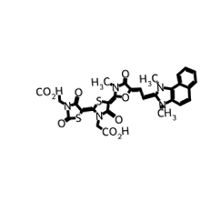 CN1/C(=C/C=c2o/c(=c3/s/c(=C4/SC(=O)N(CC(=O)O)C4=O)n(CC(=O)O)c3=O)n(C)c2=O)N(C)c2c1ccc1ccccc21